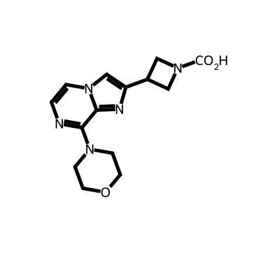 O=C(O)N1CC(c2cn3ccnc(N4CCOCC4)c3n2)C1